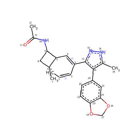 C/C=C\C(=C/C1C(C)CC1NC(C)=O)c1n[nH]c(C)c1-c1ccc2c(c1)OCO2